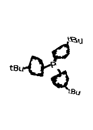 CC(C)(C)c1ccc(P(c2ccc(C(C)(C)C)cc2)c2ccc(C(C)(C)C)cc2)cc1